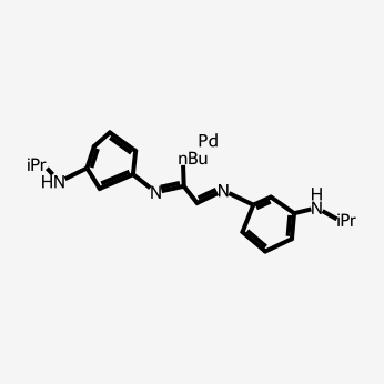 CCCCC(/C=N/c1cccc(NC(C)C)c1)=N\c1cccc(NC(C)C)c1.[Pd]